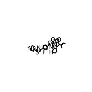 CC=C(C)C1CN(C(C=O)(NC(=O)c2ccc(-c3csc(N4CCN(C)CC4)n3)c(F)c2)C2CCCCC2)C2C(=O)COC12